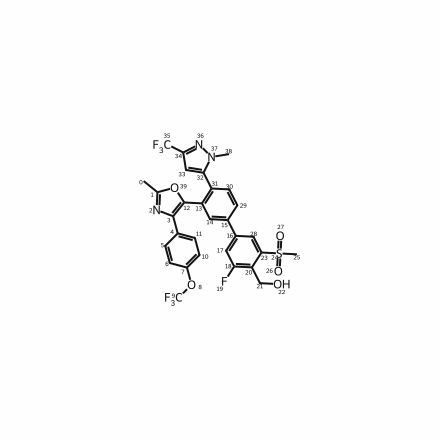 Cc1nc(-c2ccc(OC(F)(F)F)cc2)c(-c2cc(-c3cc(F)c(CO)c(S(C)(=O)=O)c3)ccc2-c2cc(C(F)(F)F)nn2C)o1